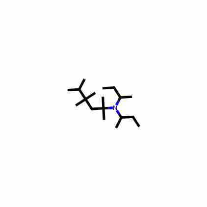 CCC(C)N(C(C)CC)C(C)(C)CC(C)(C)C(C)C